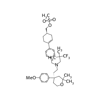 COc1ccc([C@]2(CCN(Cc3ccc(C4=CC[C@H](COS(C)(=O)=O)CC4)cc3)CC(C)(C)C(F)(F)F)CCOC(C)(C)C2)cc1